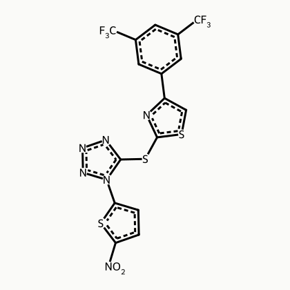 O=[N+]([O-])c1ccc(-n2nnnc2Sc2nc(-c3cc(C(F)(F)F)cc(C(F)(F)F)c3)cs2)s1